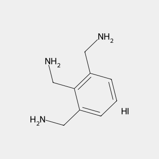 I.NCc1cccc(CN)c1CN